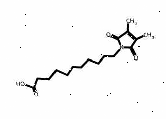 CC1=C(C)C(=O)N(CCCCCCCCCCC(=O)O)C1=O